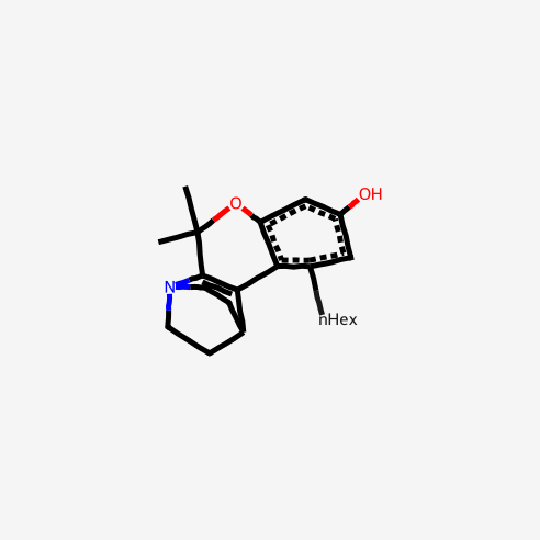 CCCCCCc1cc(O)cc2c1C1=C(N3CCC1CC3)C(C)(C)O2